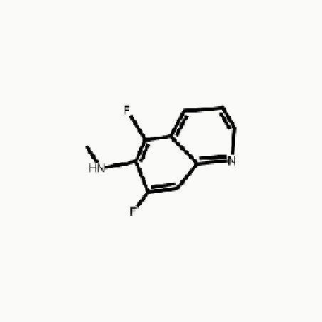 CNc1c(F)cc2ncccc2c1F